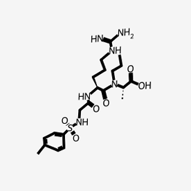 CCCN(C(=O)[C@H](CCCNC(=N)N)NC(=O)CNS(=O)(=O)c1ccc(C)cc1)[C@@H](C)C(=O)O